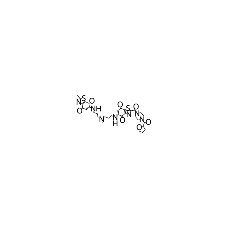 Cc1nc2c(s1)C(=O)C(NCCCN(C)CCCNC1=CC(=O)c3sc(C(=O)N4CCN(C(=O)C5CCCO5)CC4)nc3C1=O)=CC2=O